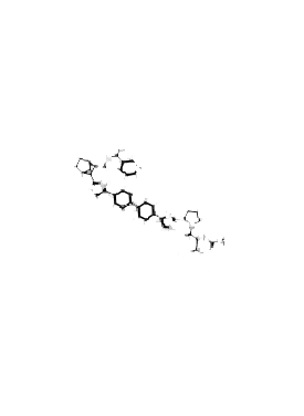 COC(=O)N[C@H](C(=O)N1CCC[C@H]1c1ncc(-c2ccc(-c3ccc(-c4cnc(C5C6CCC(C6)[C@@H]5C(=O)NC(C)c5cccnc5)[nH]4)cc3)cc2)[nH]1)C(C)C